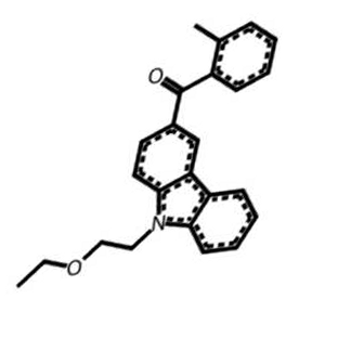 CCOCCn1c2ccccc2c2cc(C(=O)c3ccccc3C)ccc21